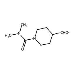 CN(C)C(=O)N1CCC([C]=O)CC1